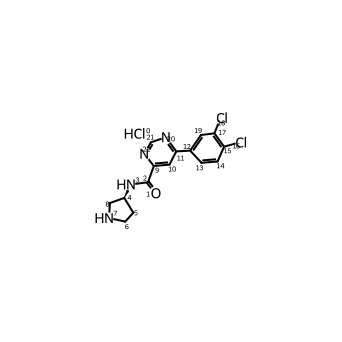 Cl.O=C(N[C@H]1CCNC1)c1cc(-c2ccc(Cl)c(Cl)c2)ncn1